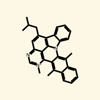 Cc1c2ccccc2c(C)c2c1c1c3c(cc(CC(C)C)c4c5ccccc5n2c43)nc[n+]1C